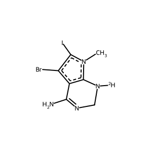 [2H]N1CN=C(N)c2c(Br)c(I)n(C)c21